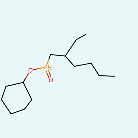 CCCCC(CC)C[PH](=O)OC1CCCCC1